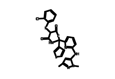 Cc1cc(Nc2cccc(C3(c4ccsc4)CC(=O)C(Sc4ccccc4Cl)C(=O)N3)n2)n(C)n1